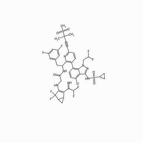 CC(C)(C#Cc1ccc(-c2ccc(Cl)c3c(NS(=O)(=O)C4CC4)nn(CC(F)F)c23)c(C(Cc2cc(F)cc(F)c2)NC(=O)CNC2=C(C(=N)C(F)F)C3CC3C2(F)F)n1)S(C)(=O)=O